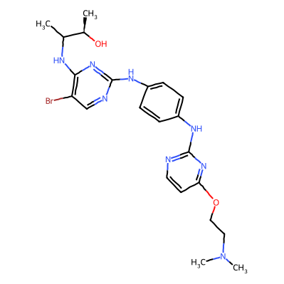 CC(Nc1nc(Nc2ccc(Nc3nccc(OCCN(C)C)n3)cc2)ncc1Br)[C@@H](C)O